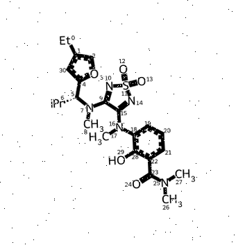 CCc1coc([C@@H](C(C)C)N(C)C2=NS(=O)(=O)N=C2N(C)c2cccc(C(=O)N(C)C)c2O)c1